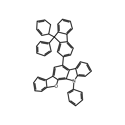 C1=CCC(C2(c3ccccc3)c3ccccc3-c3ccc(-c4cc5c6ccccc6oc5c5c4c4ccccc4n5-c4ccccc4)cc32)C=C1